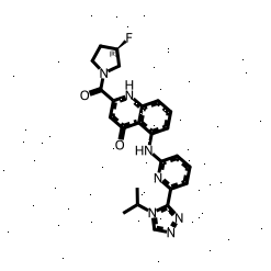 CC(C)n1cnnc1-c1cccc(Nc2cccc3[nH]c(C(=O)N4CC[C@@H](F)C4)cc(=O)c23)n1